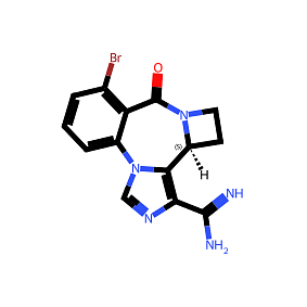 N=C(N)c1ncn2c1[C@@H]1CCN1C(=O)c1c(Br)cccc1-2